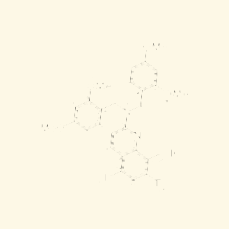 COc1ccc(CN(Cc2ccc(OC)cc2OC)c2ccc3c(F)cc(F)c(C=O)c3n2)c(OC)c1